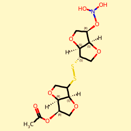 CC(=O)O[C@@H]1CO[C@@H]2C(SS[C@H]3CO[C@H]4[C@@H]3OC[C@H]4ON(O)O)CO[C@@H]21